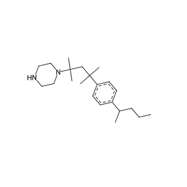 CCCC(C)c1ccc(C(C)(C)CC(C)(C)N2CCNCC2)cc1